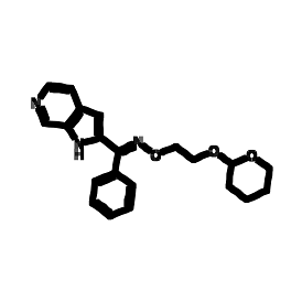 c1ccc(C(=NOCCOC2CCCCO2)c2cc3ccncc3[nH]2)cc1